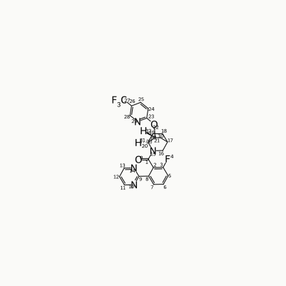 O=C(c1c(F)cccc1-c1ncccn1)N1CC2CC[C@H]1[C@H](Oc1ccc(C(F)(F)F)cn1)C2